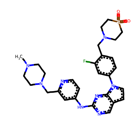 CN1CCN(Cc2cc(Nc3ncc4ccn(-c5ccc(CN6CCS(=O)(=O)CC6)c(F)c5)c4n3)ccn2)CC1